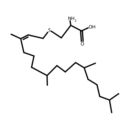 CC(=CCSCC(N)C(=O)O)CCCC(C)CCCC(C)CCCC(C)C